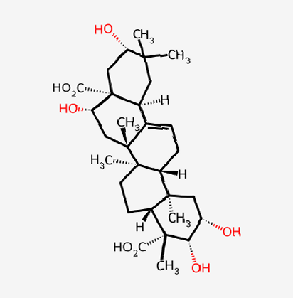 CC1(C)C[C@H]2C3=CC[C@@H]4[C@@]5(C)C[C@H](O)[C@H](O)[C@](C)(C(=O)O)[C@@H]5CC[C@@]4(C)[C@]3(C)C[C@H](O)[C@@]2(C(=O)O)C[C@@H]1O